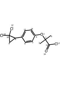 CC(C)(Oc1ccc(C2CC2(Cl)Cl)cc1)C(=O)Cl